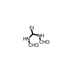 CC[C](NC=O)NC=O